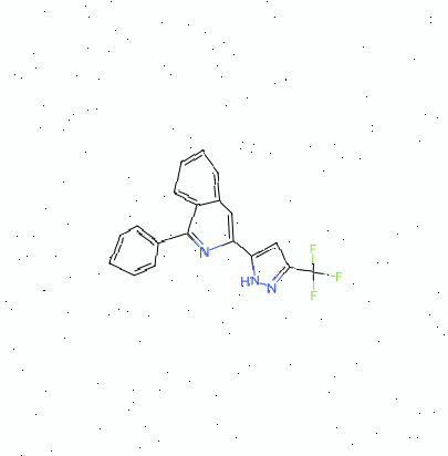 FC(F)(F)c1cc(-c2cc3ccccc3c(-c3ccccc3)n2)[nH]n1